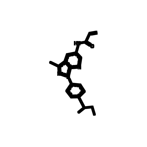 C=CC(=O)Nc1cnc2c(c1)c(C)nn2-c1ccc(C(C)CC)cc1